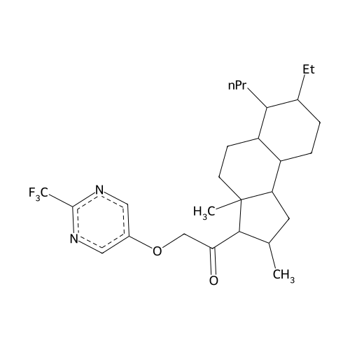 CCCC1C(CC)CCC2C1CCC1(C)C2CC(C)C1C(=O)COc1cnc(C(F)(F)F)nc1